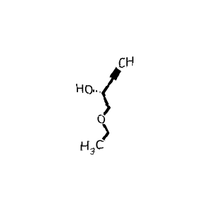 C#C[C@@H](O)COCC